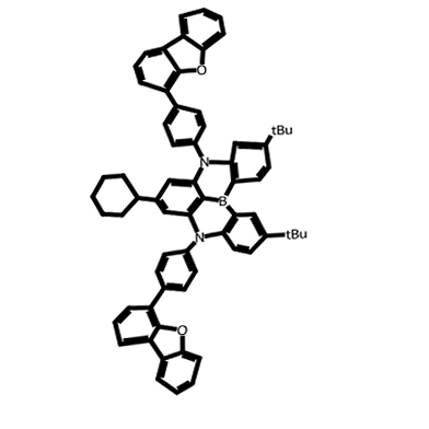 CC(C)(C)c1ccc2c(c1)B1c3ccc(C(C)(C)C)cc3N(c3ccc(-c4cccc5c4oc4ccccc45)cc3)c3cc(C4CCCCC4)cc(c31)N2c1ccc(-c2cccc3c2oc2ccccc23)cc1